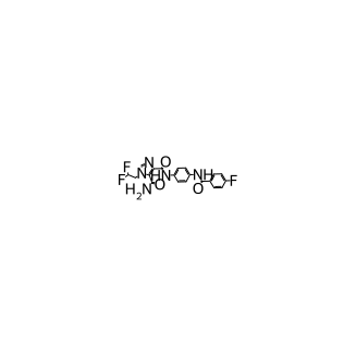 NC(=O)c1c(C(=O)Nc2ccc(NC(=O)c3ccc(F)cc3)cc2)ncn1CC(F)F